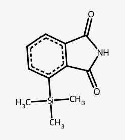 C[Si](C)(C)c1cccc2c1C(=O)NC2=O